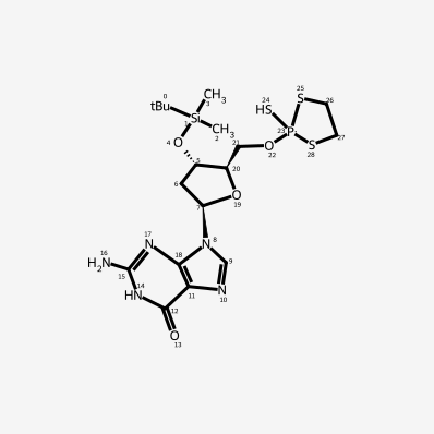 CC(C)(C)[Si](C)(C)O[C@H]1C[C@H](n2cnc3c(=O)[nH]c(N)nc32)O[C@@H]1CO[P]1(S)SCCS1